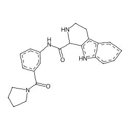 O=C(Nc1cccc(C(=O)N2CCCC2)c1)C1NCCc2c1[nH]c1ccccc21